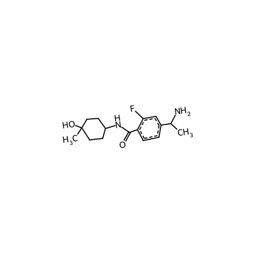 CC(N)c1ccc(C(=O)NC2CCC(C)(O)CC2)c(F)c1